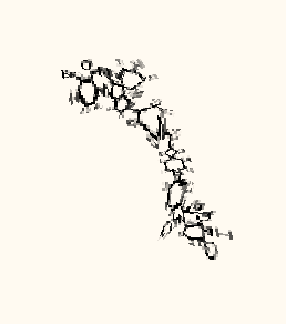 O=C1CCC(N2C(=O)c3ccc(N4CCC5(CC4)CC(CN4CCC(c6ccc7c(c6)C6(CCCCC6)c6nc(=O)c8c(Br)cccc8n6-7)CC4)C5)cc3C2=O)C(=O)N1